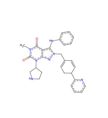 Cn1c(=O)c2c(Nc3ccccc3)n(CC3=CCC(c4ccccn4)C=C3)nc2n(C2CCNC2)c1=O